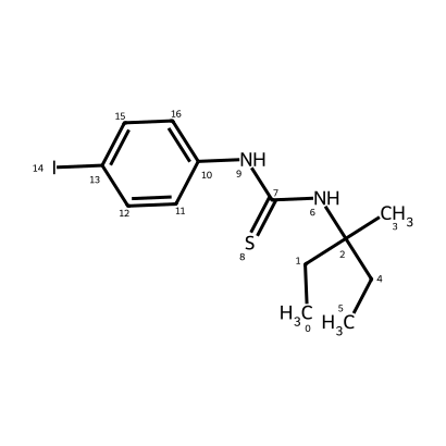 CCC(C)(CC)NC(=S)Nc1ccc(I)cc1